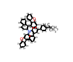 CC(C)(C)c1ccc(-c2ccc(N(c3ccc4c(c3)oc3ccccc34)c3ccc4ccccc4c3-c3cccc4oc5ccccc5c34)c(-c3ccccc3)c2)cc1